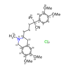 COc1ccc(C(C#N)(CCCC2=[N+](C)Cc3cc(OC)c(OC)cc3C2)C(C)C)cc1OC.[Cl-]